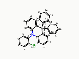 Brc1ccccc1N1c2ccccc2C(c2ccccc2)(c2ccccc2)c2ccccc21